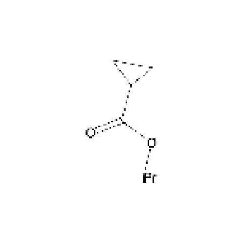 [CH2]C([CH2])OC(=O)C1CC1